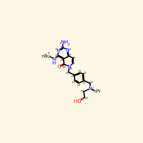 CCCCNc1nc(N)nc2ccn(Cc3ccc(CN(CCC)CCO)cc3)c(=O)c12